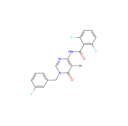 O=C(Nc1ncn(Cc2cccc(F)c2)c(=O)c1Br)c1c(F)cccc1F